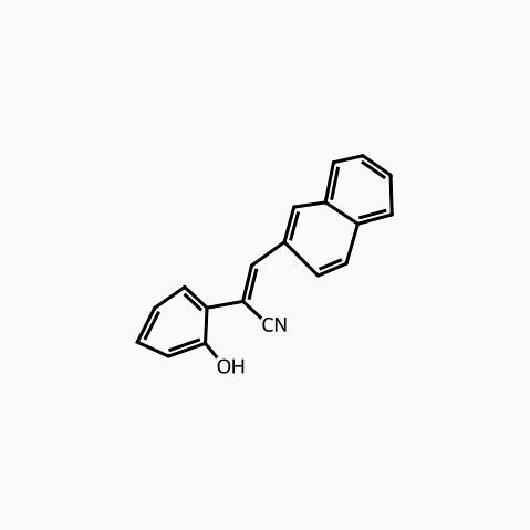 N#C/C(=C\c1ccc2ccccc2c1)c1ccccc1O